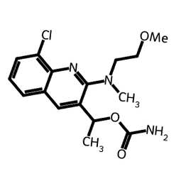 COCCN(C)c1nc2c(Cl)cccc2cc1C(C)OC(N)=O